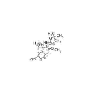 CCC1(CC)c2cc(C#N)ccc2C[C@H](OC)C1NC(=O)OC(C)(C)C